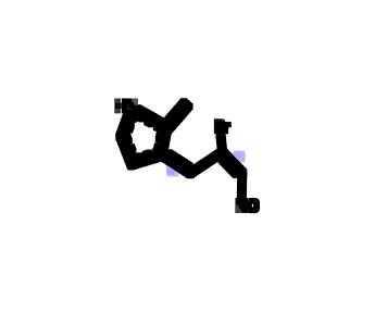 C=c1[nH]cc/c1=C/C(Br)=C\N=O